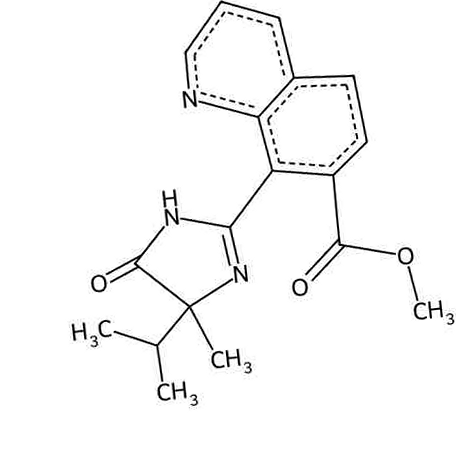 COC(=O)c1ccc2cccnc2c1C1=NC(C)(C(C)C)C(=O)N1